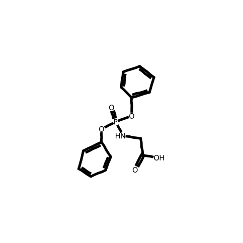 O=C(O)CNP(=O)(Oc1ccccc1)Oc1ccccc1